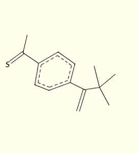 C=C(c1ccc(C(C)=S)cc1)C(C)(C)C